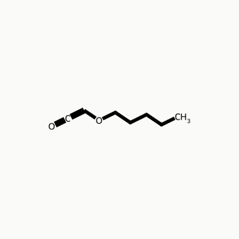 CCCCCOC=C=O